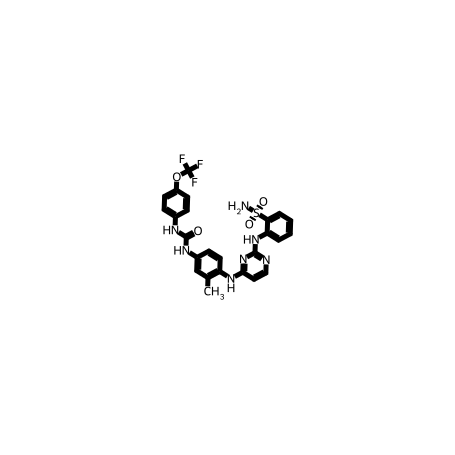 Cc1cc(NC(=O)Nc2ccc(OC(F)(F)F)cc2)ccc1Nc1ccnc(Nc2ccccc2S(N)(=O)=O)n1